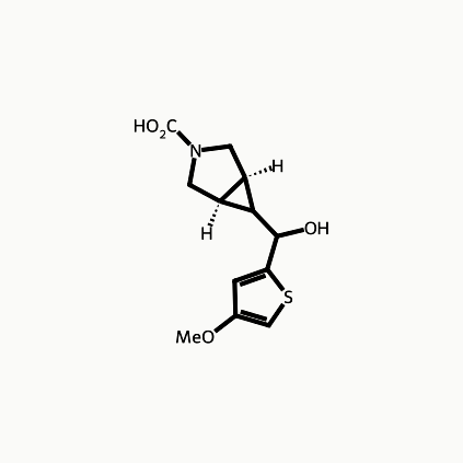 COc1csc(C(O)C2[C@H]3CN(C(=O)O)C[C@@H]23)c1